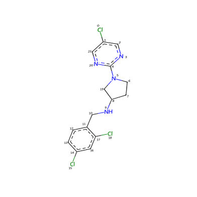 Clc1cnc(N2CCC(NCc3ccc(Cl)cc3Cl)C2)nc1